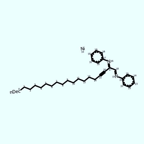 CCCCCCCCCCCCCCCCCCCCCCCCC#CC(/C=N/c1ccccc1)=N\c1ccccc1.[Ni]